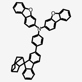 c1ccc2c(c1)-c1ccc(-c3ccc(N(c4ccc5c(c4)oc4ccccc45)c4ccc5c(c4)oc4ccccc45)cc3)cc1C21C2CC3CC(C2)C1C3